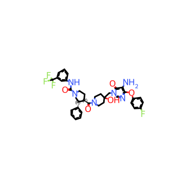 Nc1c(Oc2ccc(F)cc2)ncn(CC2(O)CCN(C(=O)[C@@H]3CCN(C(=O)Nc4cccc(C(F)(F)F)c4)C[C@H]3c3ccccc3)CC2)c1=O